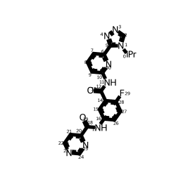 CC(C)n1cnnc1-c1cccc(NC(=O)c2cc(NC(=O)c3ccncn3)ccc2F)n1